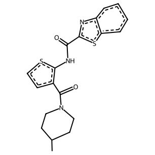 CC1CCN(C(=O)c2ccsc2NC(=O)c2nc3ccccc3s2)CC1